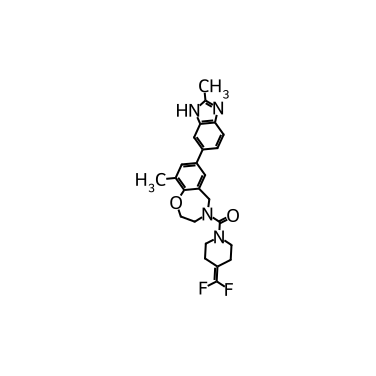 Cc1nc2ccc(-c3cc(C)c4c(c3)CN(C(=O)N3CCC(=C(F)F)CC3)CCO4)cc2[nH]1